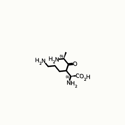 C[C@H](N)C(=O)C(CCCN)[C@H](N)C(=O)O